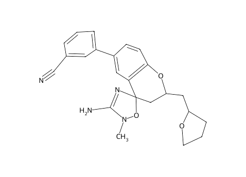 CN1OC2(CC(CC3CCCO3)Oc3ccc(-c4cccc(C#N)c4)cc32)N=C1N